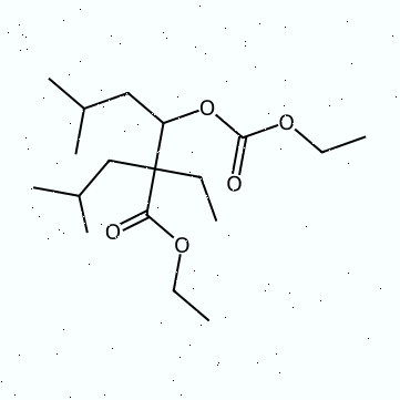 CCOC(=O)OC(CC(C)C)C(CC)(CC(C)C)C(=O)OCC